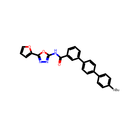 CCCCc1ccc(-c2ccc(-c3cccc(C(=O)Nc4nnc(-c5ccco5)o4)c3)cc2)cc1